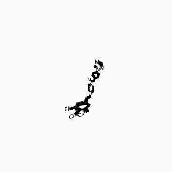 O=C1OCc2cc(CCN3CCN(C(=O)Cc4ccc(-n5cncn5)cc4)CC3)cc(Cl)c21